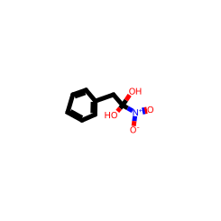 O=[N+]([O-])C(O)(O)Cc1ccccc1